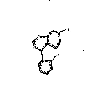 Nc1ccc2c(-c3ccccc3O)ncnc2c1